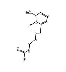 CC(C)COc1cccc(CCCCOC(=O)C(C)C)c1F